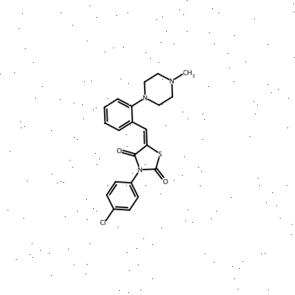 CN1CCN(c2ccccc2C=C2SC(=O)N(c3ccc(Cl)cc3)C2=O)CC1